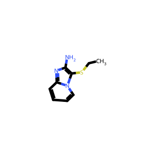 CCSc1c(N)nc2ccccn12